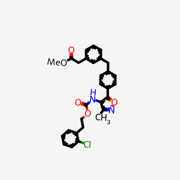 COC(=O)Cc1cccc(Cc2ccc(-c3onc(C)c3NC(=O)OCCc3ccccc3Cl)cc2)c1